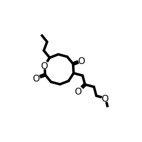 CCCC1CCC(=O)C(CC(=O)CCOC)CCCC(=O)O1